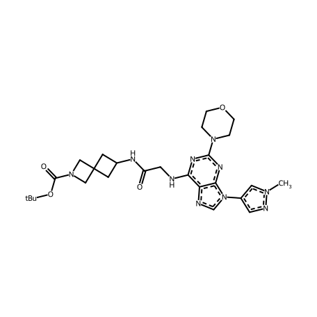 Cn1cc(-n2cnc3c(NCC(=O)NC4CC5(C4)CN(C(=O)OC(C)(C)C)C5)nc(N4CCOCC4)nc32)cn1